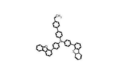 C=Cc1ccc(-c2ccc(N(c3ccc(-c4cccc5c4SC4C=CC=CC54)cc3)c3ccc(-c4cccc5c4oc4ccccc45)cc3)cc2)cc1